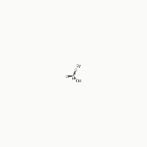 O=[SH](=O)O.[Dy]